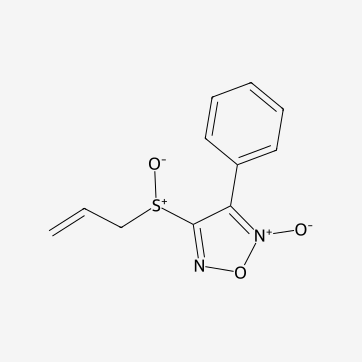 C=CC[S+]([O-])c1no[n+]([O-])c1-c1ccccc1